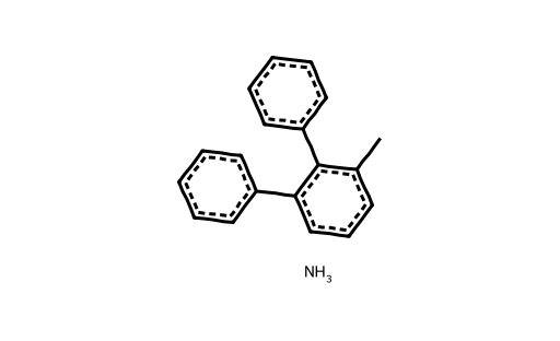 Cc1cccc(-c2ccccc2)c1-c1ccccc1.N